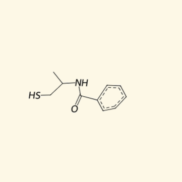 CC(CS)NC(=O)c1ccccc1